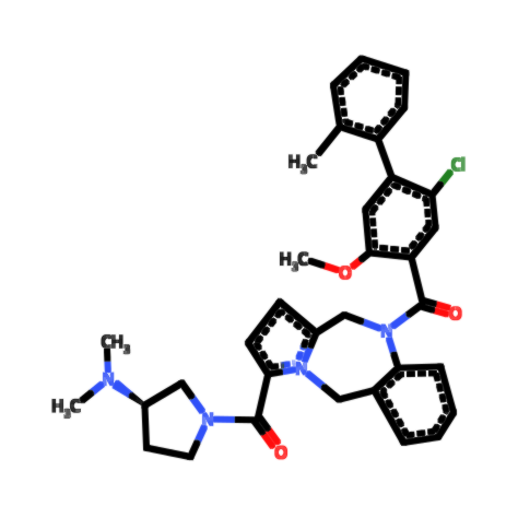 COc1cc(-c2ccccc2C)c(Cl)cc1C(=O)N1Cc2ccc(C(=O)N3CC[C@@H](N(C)C)C3)n2Cc2ccccc21